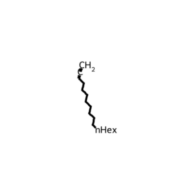 C=C=CCCCCCCCCCCCCCC